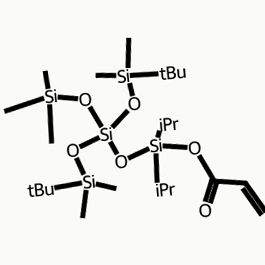 C=CC(=O)O[Si](O[Si](O[Si](C)(C)C)(O[Si](C)(C)C(C)(C)C)O[Si](C)(C)C(C)(C)C)(C(C)C)C(C)C